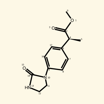 COC(=O)[C@@H](C)c1ccc(N2CCNC2=O)cc1